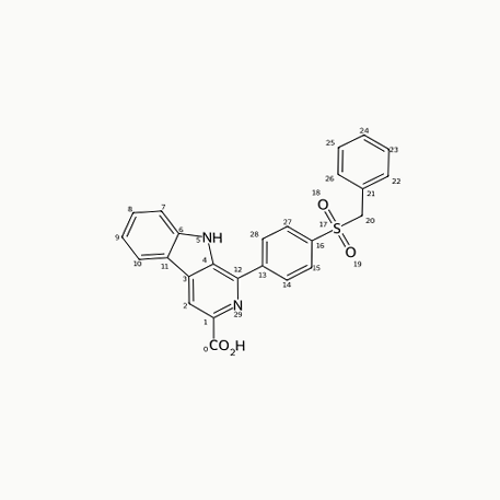 O=C(O)c1cc2c([nH]c3ccccc32)c(-c2ccc(S(=O)(=O)Cc3ccccc3)cc2)n1